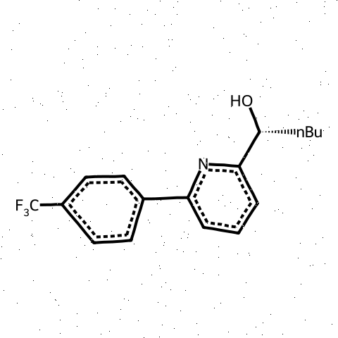 CCCC[C@@H](O)c1cccc(-c2ccc(C(F)(F)F)cc2)n1